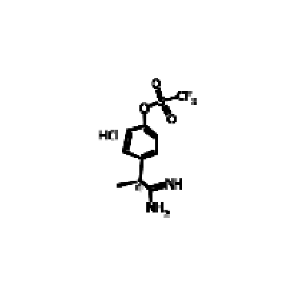 C[C@H](C(=N)N)c1ccc(OS(=O)(=O)C(F)(F)F)cc1.Cl